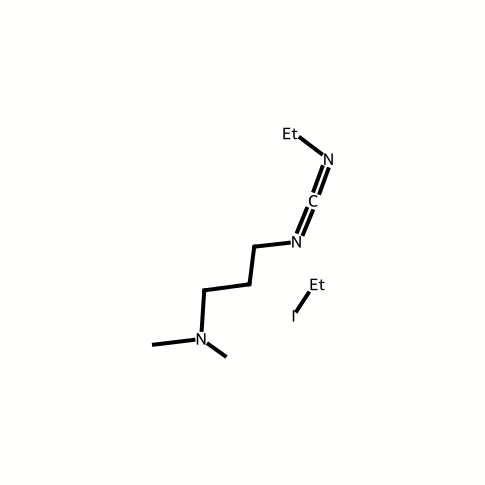 CCI.CCN=C=NCCCN(C)C